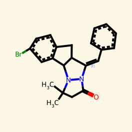 CC1(C)CC(=O)N2/C(=C/c3ccccc3)C3Cc4ccc(Br)cc4C3N21